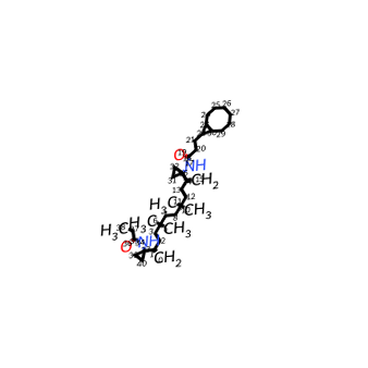 C=C(CCC(C)(C)CCC(C)(C)CCC(=C)C1(NC(=O)CCC2C3CCCCCCC32)CC1)C1(NC(=O)CC)CC1